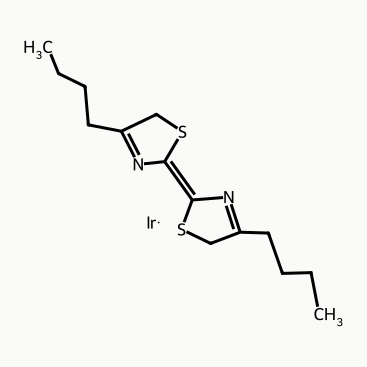 CCCCC1=NC(=C2N=C(CCCC)CS2)SC1.[Ir]